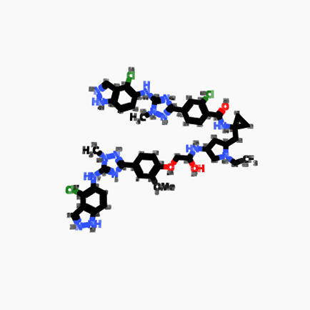 COc1cc(-c2nc(Nc3ccc4[nH]ncc4c3Cl)n(C)n2)ccc1OCC(O)NC1CC(CC2(NC(=O)c3ccc(-c4nc(Nc5ccc6[nH]ncc6c5Cl)n(C)n4)cc3Cl)CC2)N(CC(F)(F)F)C1